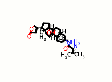 CC(C)[C@@H](N)C(=O)N[C@H]1CC[C@@]2(C)[C@H](CC[C@@H]3[C@@H]2CC[C@]2(C)[C@@H](C4=CC(=O)OC4)CC[C@]32O)C1